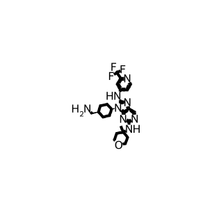 CC1(Nc2ncc3nc(Nc4ccnc(C(F)(F)F)c4)n([C@H]4CC[C@H](CN)CC4)c3n2)CCOCC1